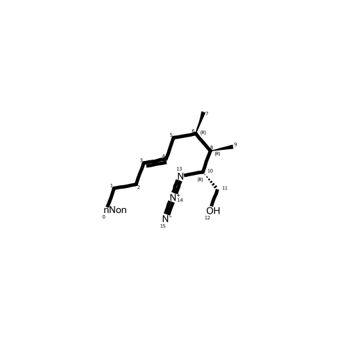 CCCCCCCCCCCC=CC[C@@H](C)[C@@H](C)[C@H](CO)N=[N+]=[N-]